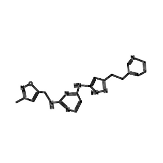 Cc1cc(CNc2nccc(Nc3cc(CCc4cccnc4)n[nH]3)n2)on1